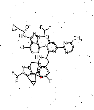 Cc1ccnc(-c2cc(=O)n(-c3ccc(Cl)c4c(N[S+]([O-])C5CC5)nn(CC(F)F)c34)c(C(Cc3cc(F)cc(F)c3)NC(=O)Cn3nc(C(F)F)c4c3C(F)(F)C3CC43)n2)n1